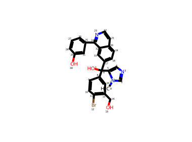 Cn1cncc1C(O)(c1ccc(Br)c(CO)c1)c1ccc2ccnc(-c3cccc(O)c3)c2c1